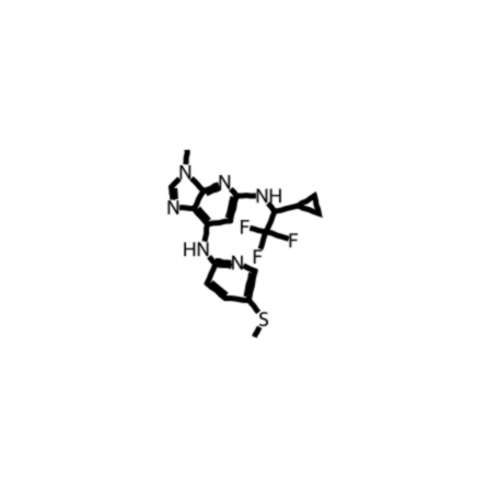 CSc1ccc(Nc2cc(NC(C3CC3)C(F)(F)F)nc3c2ncn3C)nc1